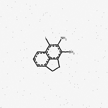 Bc1c(N)c(I)c2cccc3c2c1CC3